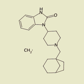 O=c1[nH]c2ccccc2n1C1CCN(CC23CCCC(CC2)C3)CC1.[CH2]